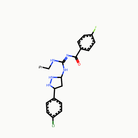 CC(C)CN/C(=N/C(=O)c1ccc(F)cc1)NC1CC(c2ccc(Cl)cc2)NN1